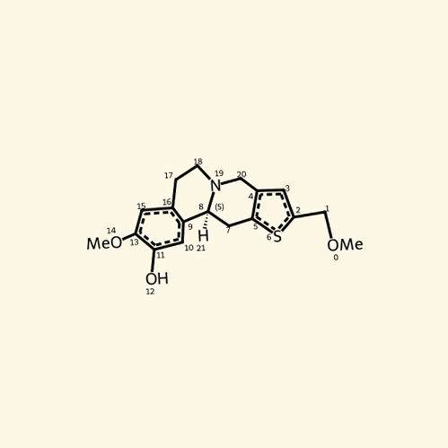 COCc1cc2c(s1)C[C@H]1c3cc(O)c(OC)cc3CCN1C2